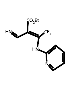 CCOC(=O)/C(C=N)=C(/Nc1ccccn1)C(F)(F)F